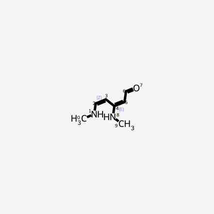 CN/C=C\C(=C/C=O)NC